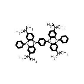 CN(C)c1ccc2c(c1)N(c1ccccc1)c1cc(N(C)C)ccc1B2c1ccc(B2c3ccc(N(C)C)cc3N(c3ccccc3)c3cc(N(C)C)ccc32)cc1